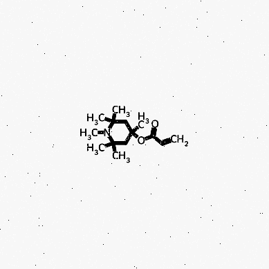 C=CC(=O)OC1(C)CC(C)(C)N(C)C(C)(C)C1